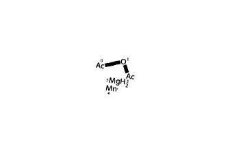 CC(=O)OC(C)=O.[MgH2].[Mn]